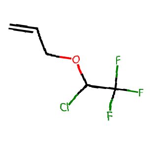 C=CCOC(Cl)C(F)(F)F